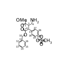 COC(=O)C(CN)C(C(=O)OCc1ccccc1)c1ccc(OS(C)(=O)=O)cc1